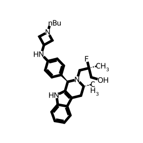 CCCCN1CC(Nc2ccc([C@@H]3c4[nH]c5ccccc5c4C[C@@H](C)N3C[C@@](C)(F)CO)cc2)C1